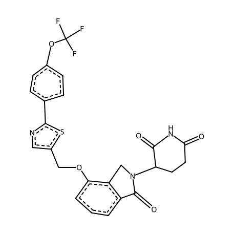 O=C1CCC(N2Cc3c(OCc4cnc(-c5ccc(OC(F)(F)F)cc5)s4)cccc3C2=O)C(=O)N1